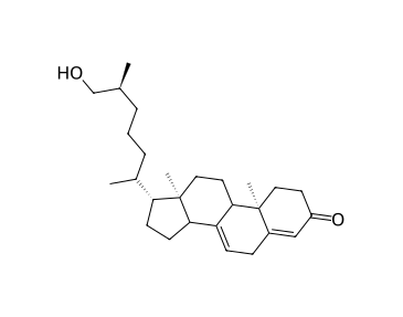 CC(CCC[C@H](C)CO)[C@H]1CCC2C3=CCC4=CC(=O)CC[C@]4(C)C3CC[C@@]21C